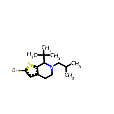 C[C](C)CN1CCc2cc(Br)sc2C1C(C)(C)C